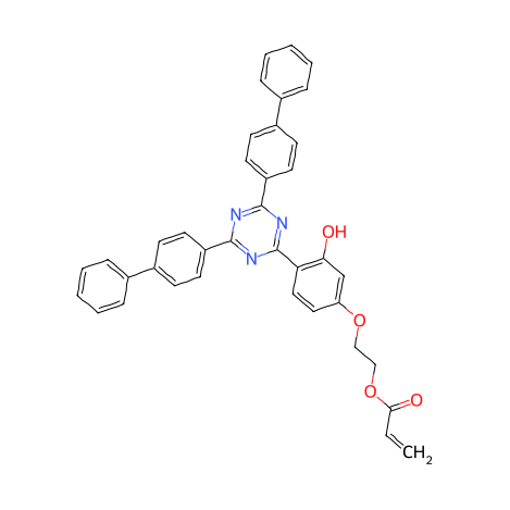 C=CC(=O)OCCOc1ccc(-c2nc(-c3ccc(-c4ccccc4)cc3)nc(-c3ccc(-c4ccccc4)cc3)n2)c(O)c1